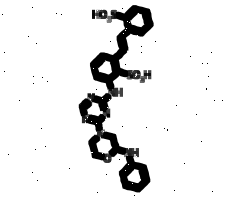 O=S(=O)(O)c1ccccc1C=Cc1cccc(Nc2ncnc(N3CCOC(Nc4ccccc4)C3)n2)c1S(=O)(=O)O